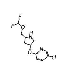 FC(F)OC[C@@H]1C[C@H](Oc2ccc(Cl)cn2)CN1